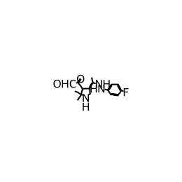 CC(NNc1ccc(F)cc1)=C1CNC(C)(C)C1C(=O)C=O